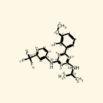 COc1cccc(-c2nc(Nc3ccnc(C(F)(F)F)c3)nc(NC(C)C)n2)c1F